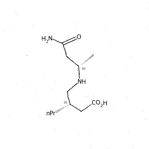 CCC[C@H](CN[C@@H](C)CC(N)=O)CC(=O)O